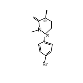 C=C1[C@@H](C)CC[C@H](c2ccc(Br)cc2)N1C